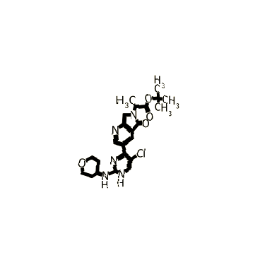 C[C@H](C(=O)OC(C)(C)C)N1Cc2ncc(C3=NC(NC4CCOCC4)NC=C3Cl)cc2C1=O